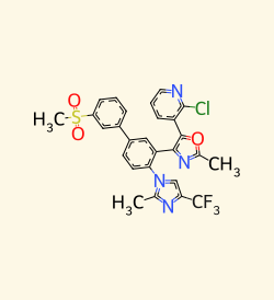 Cc1nc(-c2cc(-c3cccc(S(C)(=O)=O)c3)ccc2-n2cc(C(F)(F)F)nc2C)c(-c2cccnc2Cl)o1